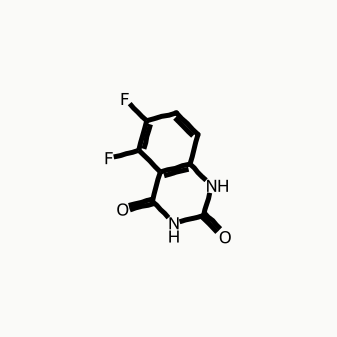 O=c1[nH]c(=O)c2c(F)c(F)ccc2[nH]1